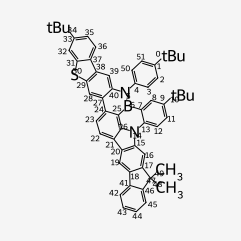 CC(C)(C)c1ccc(N2B3c4cc(C(C)(C)C)ccc4-n4c5cc6c(cc5c5ccc(c3c54)-c3cc4sc5cc(C(C)(C)C)ccc5c4cc32)-c2ccccc2C6(C)C)cc1